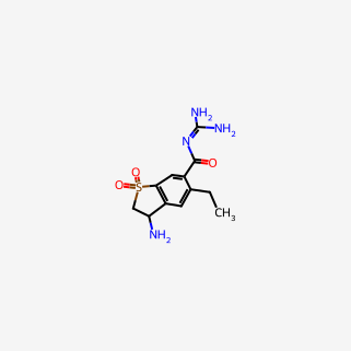 CCc1cc2c(cc1C(=O)N=C(N)N)S(=O)(=O)CC2N